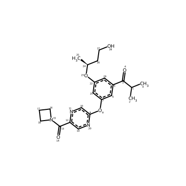 CC(C)C(=O)c1cc(Oc2cnc(C(=O)N3CCC3)cn2)cc(O[C@@H](C)CCO)c1